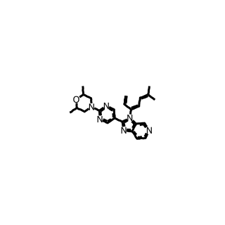 C=C/C(=C\C=C(C)C)n1c(-c2cnc(N3CC(C)OC(C)C3)nc2)nc2ccncc21